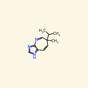 CC(C)C1(C)C=Cc2[nH]cnc2N=C1